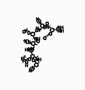 CN/C=C(\C=N)c1cc(OCCCOC)cc([C@@H](C)NC(=O)c2cc(N3CCN(C)CC3)cc(Cn3cc(-c4cc(OCC5(C)COC5)cc([C@@H](C)NC(=O)c5cc(N6CCN(C)CC6)cc(CN/C=C(\C=N)c6cc(OC[C@H](O)C(F)(F)F)cc([C@@H](C)NC(=O)c7cc(N8CCN(C)CC8)ccc7C)c6)c5C)c4)cn3)c2C)c1